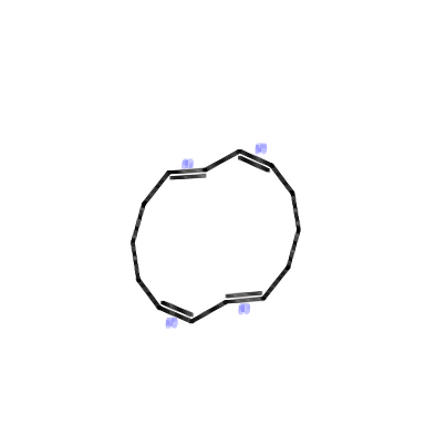 C1=C\CCC/C=C/C=C\CCC/C=C/1